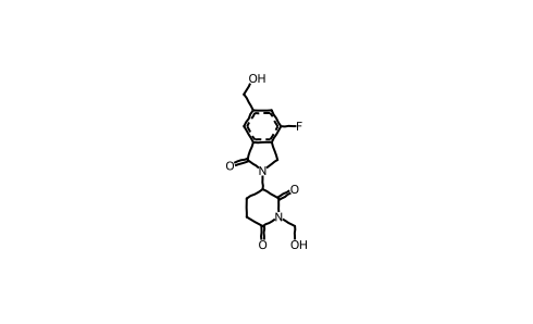 O=C1CCC(N2Cc3c(F)cc(CO)cc3C2=O)C(=O)N1CO